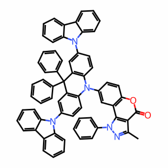 Cc1nn(-c2ccccc2)c2c1c(=O)oc1ccc(N3c4ccc(-n5c6ccccc6c6ccccc65)cc4C(c4ccccc4)(c4ccccc4)c4cc(-n5c6ccccc6c6ccccc65)ccc43)cc12